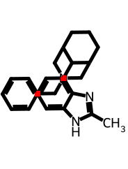 Cc1nc2c(C3C4CCCC3CN(Cc3ccccc3)C4)cccc2[nH]1